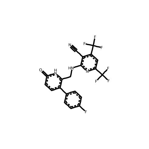 N#Cc1c(C(F)(F)F)cc(C(F)(F)F)nc1NCc1[nH]c(=O)ccc1-c1ccc(F)cc1